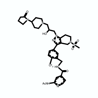 CC(=O)Nc1cc(C(=O)NCc2cc(-c3nn(CC(O)CN4CCC(N5CCCC5=O)CC4)c4c3CN(S(C)(=O)=O)CC4)ccc2C(F)(F)F)ccn1